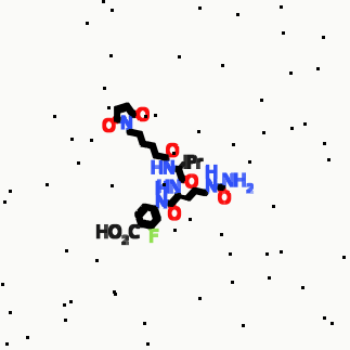 CC(C)[C@H](NC(=O)CCCCCN1C(=O)C=CC1=O)C(=O)N[C@@H](CCCNC(N)=O)C(=O)Nc1ccc(C(=O)O)c(F)c1